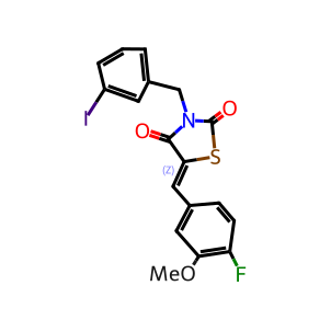 COc1cc(/C=C2\SC(=O)N(Cc3cccc(I)c3)C2=O)ccc1F